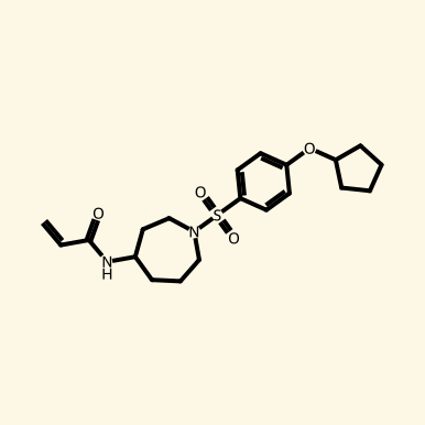 C=CC(=O)NC1CCCN(S(=O)(=O)c2ccc(OC3CCCC3)cc2)CC1